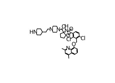 Cc1cc(C)c2cccc(OCc3c(Cl)ccc(S(=O)(=O)NC4(C(=O)N5CCN(CCC6CCNCC6)CC5)CCCC4)c3Cl)c2n1